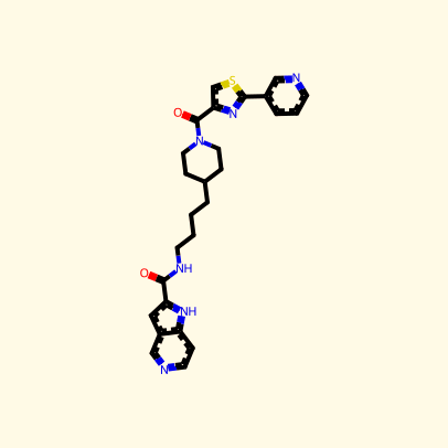 O=C(NCCCCC1CCN(C(=O)c2csc(-c3cccnc3)n2)CC1)c1cc2cnccc2[nH]1